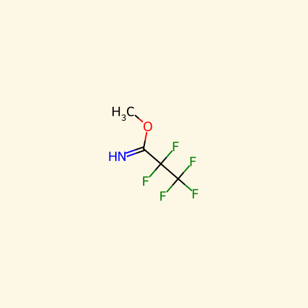 COC(=N)C(F)(F)C(F)(F)F